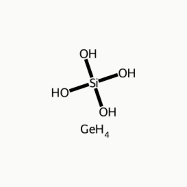 O[Si](O)(O)O.[GeH4]